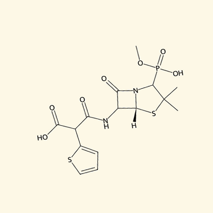 COP(=O)(O)C1N2C(=O)C(NC(=O)C(C(=O)O)c3cccs3)[C@H]2SC1(C)C